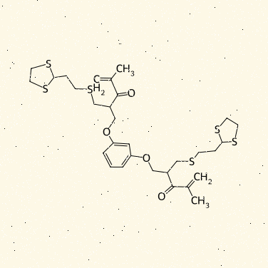 C=C(C)C(=O)C(COc1cccc(OCC(CSCCC2SCCS2)C(=O)C(=C)C)c1)CSCCC1SCCS1